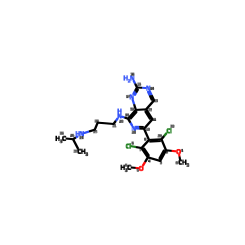 COc1cc(OC)c(Cl)c(-c2cc3cnc(N)nc3c(NCCCNC(C)C)n2)c1Cl